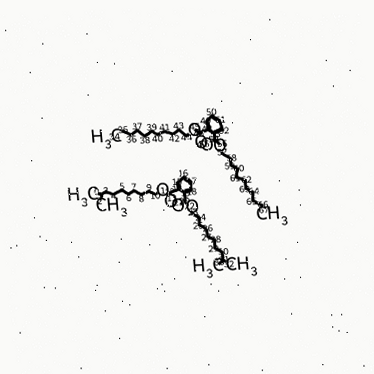 CC(C)CCCCCCCCOC(=O)c1ccccc1C(=O)OCCCCCCCCC(C)C.CCCCCCCCCCCOC(=O)c1ccccc1C(=O)OCCCCCCCCCCC